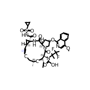 CC[C@@H]1C[C@H](C)CC/C=C\[C@@H]2C[C@@]2(C(=O)NS(=O)(=O)C2CC2)NC(=O)[C@@H]2C[C@@H](Oc3ncc(OC)c4ccccc34)CN2C(=O)[C@H]1N(C(=O)O)C(C)(C)C(C)(F)F